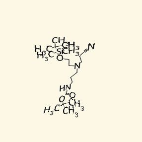 CC(C)(C)OC(=O)NCCCN(CCC#N)CCO[Si](C)(C)C(C)(C)C